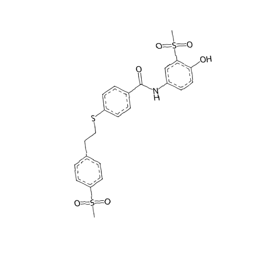 CS(=O)(=O)c1ccc(CCSc2ccc(C(=O)Nc3ccc(O)c(S(C)(=O)=O)c3)cc2)cc1